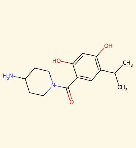 CC(C)c1cc(C(=O)N2CCC(N)CC2)c(O)cc1O